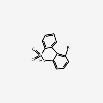 O=S1(=O)Nc2cccc(Br)c2-c2ccccc21